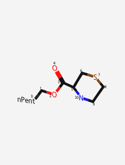 CCCCCCOC(=O)C1CSCC[N]1